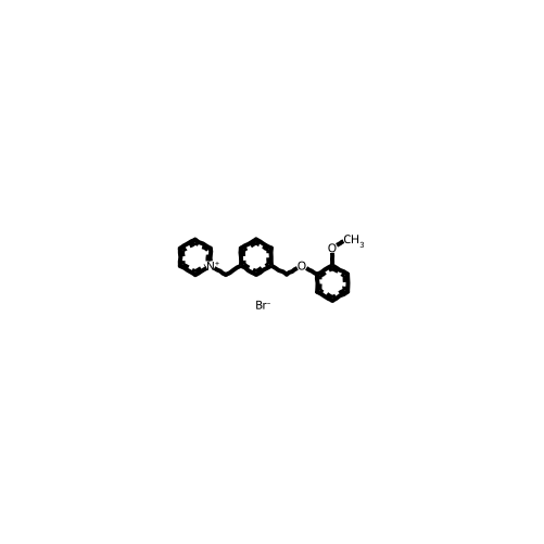 COc1ccccc1OCc1cccc(C[n+]2ccccc2)c1.[Br-]